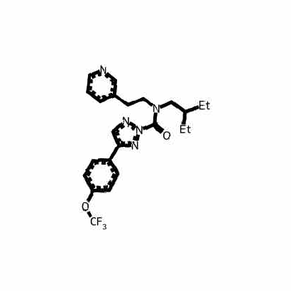 CCC(CC)CN(CCc1cccnc1)C(=O)n1ncc(-c2ccc(OC(F)(F)F)cc2)n1